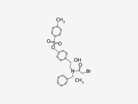 Cc1ccc(S(=O)(=O)Oc2ccc([C@H](O)CN(C(=O)CBr)[C@H](C)c3ccccc3)cc2)cc1